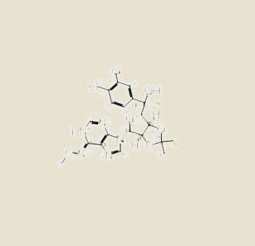 CO/N=c1\[nH]cnc2c1ncn2[C@@H]1O[C@H]([C@](C)(O)c2ccc(Cl)c(Cl)c2)[C@H]2OC(C)(C)O[C@H]21